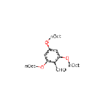 CCCCCCCCOc1cc(OCCCCCCCC)c(C=O)c(OCCCCCCCC)c1